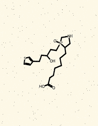 O=C(O)CCCCCCC1CNC[N+]1([O-])CCC(O)CCc1ccsc1